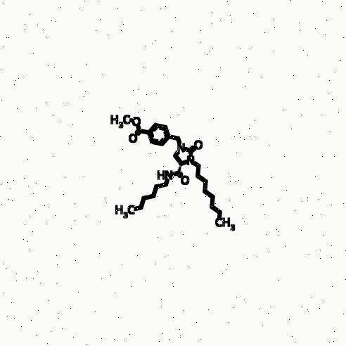 CCCCCCCCN1C(=O)N(Cc2ccc(C(=O)OC)cc2)C[C@H]1C(=O)NCCCCCC